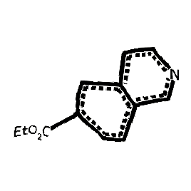 CCOC(=O)c1ccc2cnccc2c1